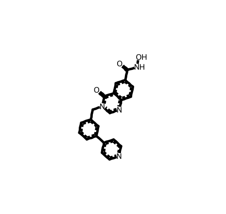 O=C(NO)c1ccc2ncn(Cc3cccc(-c4ccncc4)c3)c(=O)c2c1